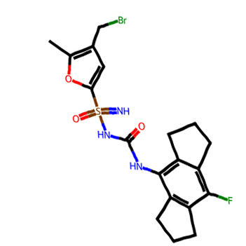 Cc1oc(S(=N)(=O)NC(=O)Nc2c3c(c(F)c4c2CCC4)CCC3)cc1CBr